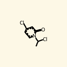 CC(Cl)n1ccc(Cl)cc1=O